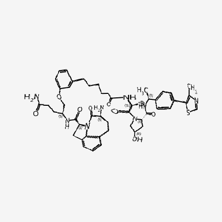 Cc1ncsc1-c1ccc([C@H](C)NC(=O)[C@@H]2C[C@@H](O)CN2C(=O)[C@@H](NC(=O)CCCCCc2cccc(OC[C@H](CCC(N)=O)NC(=O)[C@@H]3Cc4cccc5c4N3C(=O)[C@@H](N)CC5)c2)C(C)(C)C)cc1